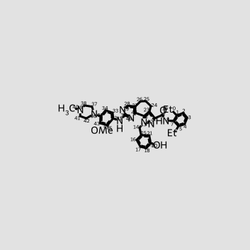 CCc1cccc(CC)c1NC(=O)c1nn(Cc2cccc(O)c2)c2c1CCCc1cnc(Nc3ccc(N4CCN(C)CC4)cc3OC)nc1-2